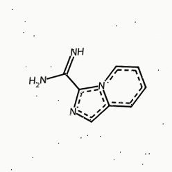 N=C(N)c1ncc2ccccn12